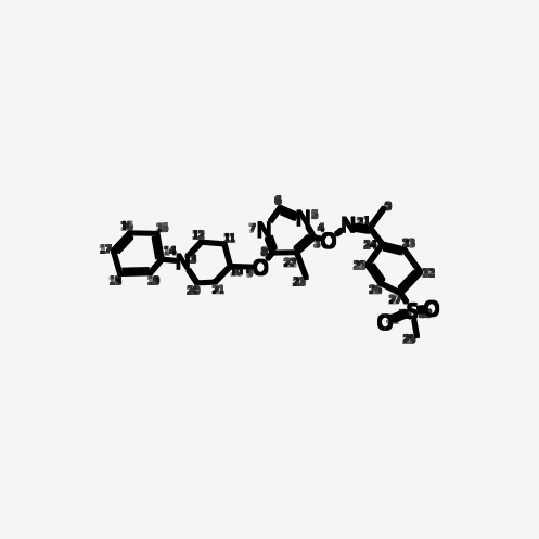 CC(=NOc1ncnc(OC2CCN(c3ccccc3)CC2)c1C)c1ccc(S(C)(=O)=O)cc1